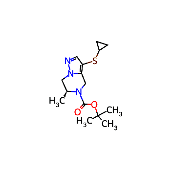 C[C@H]1Cn2ncc(SC3CC3)c2CN1C(=O)OC(C)(C)C